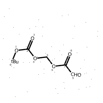 CC(C)(C)OC(=O)OCOC(=O)C=O